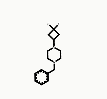 FC1(F)CC(N2CCN(Cc3ccccc3)CC2)C1